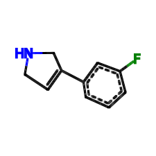 Fc1cccc(C2=CCNC2)c1